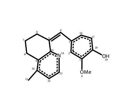 COc1cc(/C=C2/CCCc3c(C)ccnc32)ccc1O